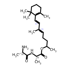 CC1=C(/C=C/C(C)=C/CCC(C)OC(=O)[C@H](C)NC(=O)[C@H](C)N)C(C)(C)CCC1